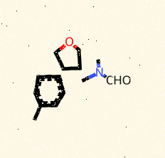 C1CCOC1.CN(C)C=O.Cc1ccccc1